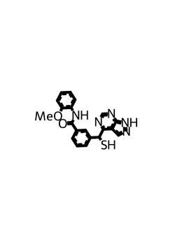 COc1ccccc1NC(=O)c1cccc(C(S)c2ncnc3[nH]ncc23)c1